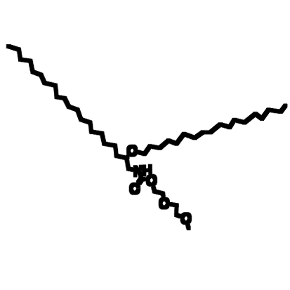 CCCCCCCCCCCCCCCCCCCC(CNC(=O)OCCOCCOC)OCCCCCCCCCCCCCCCCCC